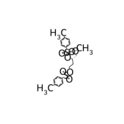 COC[C@H](CCOS(=O)(=O)c1ccc(C)cc1)OS(=O)(=O)c1ccc(C)cc1